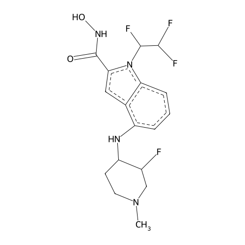 CN1CCC(Nc2cccc3c2cc(C(=O)NO)n3C(F)C(F)F)C(F)C1